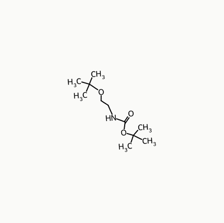 CC(C)(C)OCCNC(=O)OC(C)(C)C